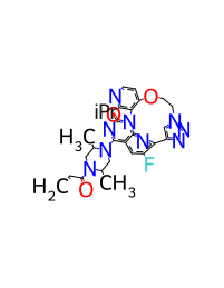 C=CC(=O)N1CC(C)N(c2nc(=O)n3c4nc(c(F)cc24)-c2cn(nn2)CCOc2ccnc(C(C)C)c2-3)CC1C